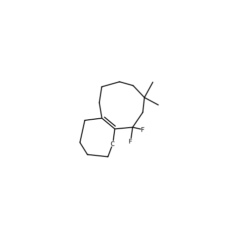 CC1(C)CCCCC2=C(CCCCC2)C(F)(F)C1